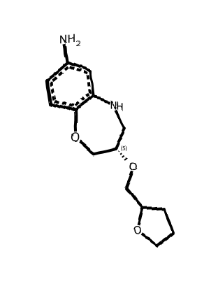 Nc1ccc2c(c1)NC[C@H](OCC1CCCO1)CO2